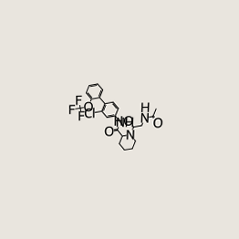 CC(=O)NCC(O)N1CCCCC1C(=O)Nc1ccc(-c2ccccc2OC(F)(F)F)c(Cl)c1